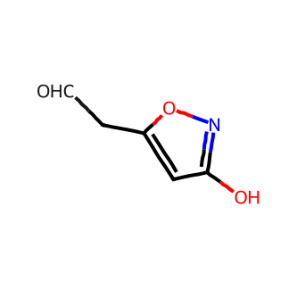 O=CCc1cc(O)no1